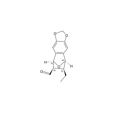 CC[C@H]1[C@@H](C=O)[C@@H]2O[C@H]1c1cc3c(cc12)OCO3